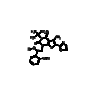 CCO[C@@H](Cn1c(=O)n(C(C)(C)C(=O)O)c(=O)c2c(C)c(-c3ncco3)sc21)c1ccccc1OC